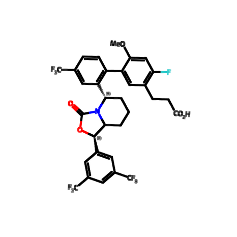 COc1cc(F)c(CCC(=O)O)cc1-c1ccc(C(F)(F)F)cc1[C@@H]1CCCC2[C@@H](c3cc(C(F)(F)F)cc(C(F)(F)F)c3)OC(=O)N21